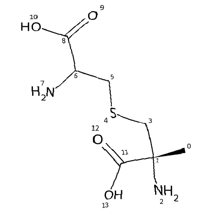 C[C@](N)(CSCC(N)C(=O)O)C(=O)O